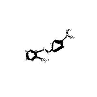 CCCN(CCC)c1ccc(N=Nc2ccccc2C(=O)O)cc1